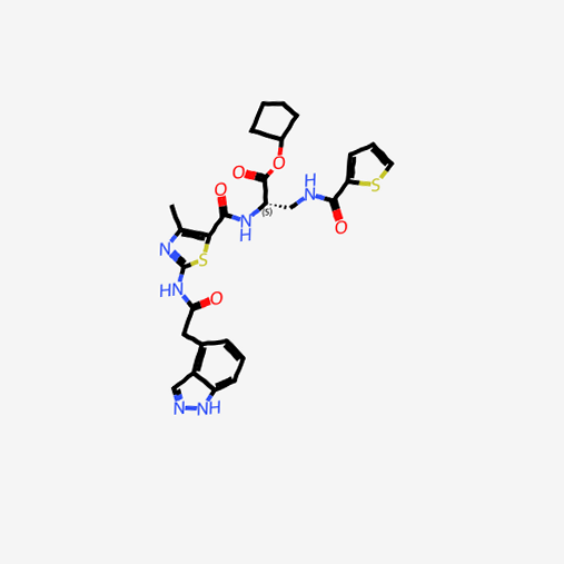 Cc1nc(NC(=O)Cc2cccc3[nH]ncc23)sc1C(=O)N[C@@H](CNC(=O)c1cccs1)C(=O)OC1CCCC1